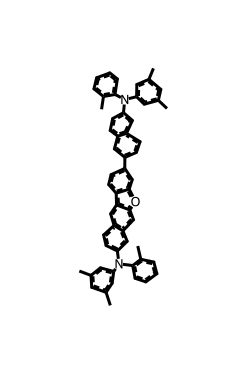 Cc1cc(C)cc(N(c2ccc3cc(-c4ccc5c(c4)oc4cc6cc(N(c7cc(C)cc(C)c7)c7ccccc7C)ccc6cc45)ccc3c2)c2ccccc2C)c1